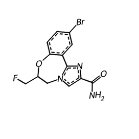 NC(=O)c1cn2c(n1)-c1cc(Br)ccc1OC(CF)C2